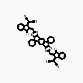 N#CC(C#N)=C1/C(=C/c2nc3c(s2)-c2cc4c(cc2C32CCCCC2)-c2sc(/C=C3\C(=O)c5ccccc5C3=C(C#N)C#N)nc2C42CCCCC2)C(=O)c2ccccc21